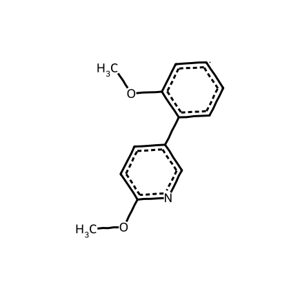 COc1ccc(-c2cc[c]cc2OC)cn1